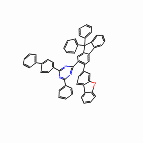 c1ccc(-c2ccc(-c3nc(-c4ccccc4)nc(-c4cc5c(cc4-c4ccc6c(c4)oc4ccccc46)-c4ccccc4C5(c4ccccc4)c4ccccc4)n3)cc2)cc1